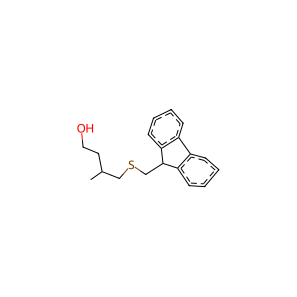 CC(CCO)CSCC1c2ccccc2-c2ccccc21